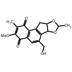 COC1=C(C)C(=O)c2c(cc(CO)c3c2CC2OC(C)OC32)C1=O